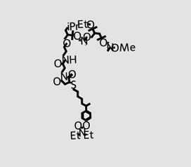 CCOC(C)(C)C(CON(C)COC(C)(C)C(COCCCNC(=O)CCN1C(=O)CC(SCCCCCC(C)c2ccc(OC(=O)N(CC)CC)cc2)C1=O)CC(C)C)CC(C)(C)OCN(C)OC